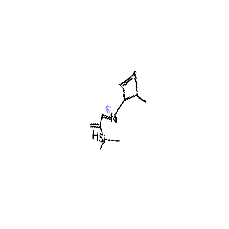 C=C(/C=N/C1C=CC1C)[SiH](C)C